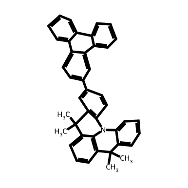 CC1(C)c2ccccc2N2c3ccc(-c4ccc5c6ccccc6c6ccccc6c5c4)cc3C(C)(C)c3cccc1c32